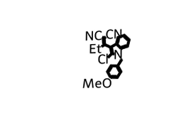 CCC(=C(C#N)C#N)c1c(Cl)n(Cc2ccc(OC)cc2)c2ccccc12